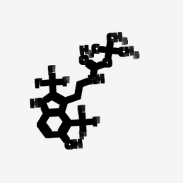 CC(C)(C)OC(=O)NCCc1c(C(F)(F)F)[nH]c2ccc(O)c(C(F)(F)F)c12